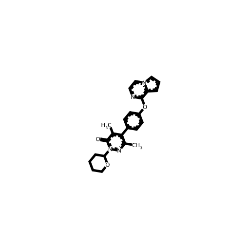 Cc1nn(C2CCCCO2)c(=O)c(C)c1-c1ccc(Oc2nccn3cccc23)cc1